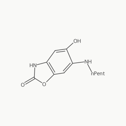 CCCCCNc1cc2oc(=O)[nH]c2cc1O